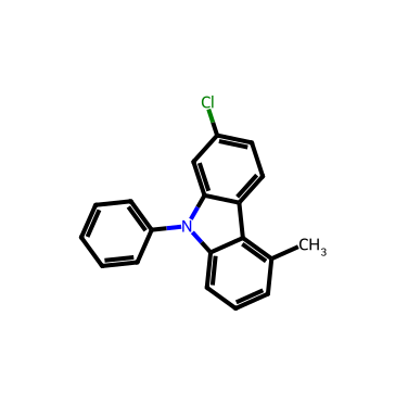 Cc1cccc2c1c1ccc(Cl)cc1n2-c1ccccc1